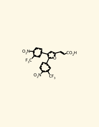 O=C(O)/C=C/c1cc(-c2ccc([N+](=O)[O-])c(C(F)(F)F)c2)c(-c2ccc([N+](=O)[O-])c(C(F)(F)F)c2)o1